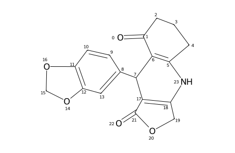 O=C1CCCC2=C1C(c1ccc3c(c1)OCO3)C1=C(COC1=O)N2